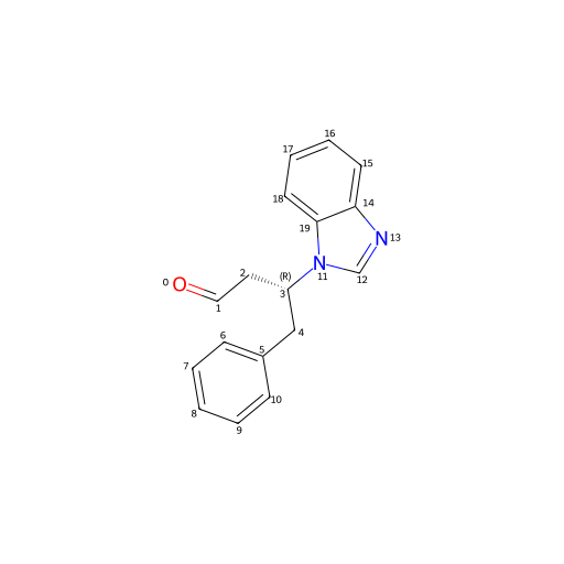 O=CC[C@@H](Cc1ccccc1)n1cnc2ccccc21